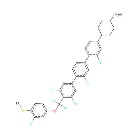 CCCCCC1CCC(c2ccc(-c3ccc(-c4cc(F)c(C(F)(F)Oc5ccc(SCC)c(F)c5)c(F)c4)c(F)c3)c(F)c2)CC1